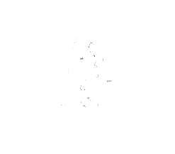 C[C@@H](O)[C@H]1C(=O)N2C(C(=O)O)=C(S[C@H]3C[C@@H](C(=O)N4CC[C@H](N)C4)N(C)C3)[C@H](C)[C@H]12.Cl